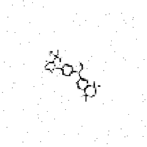 C=CC(c1ccc(-n2nnnc2C(F)(F)F)cc1)c1ccc2c(c1)C(C)(C)CCC2(C)C